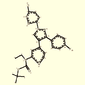 CCN(C(=O)OC(C)(C)C)c1cc(-c2cn(-c3ccc(Cl)nn3)nc2-c2ccc(F)cc2)ccn1